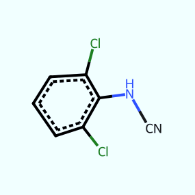 N#CNc1c(Cl)cccc1Cl